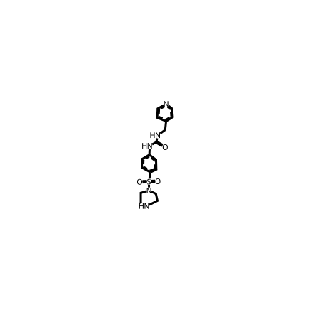 O=C(NCc1ccncc1)Nc1ccc(S(=O)(=O)N2CCNCC2)cc1